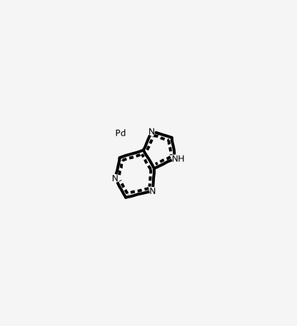 [Pd].c1ncc2nc[nH]c2n1